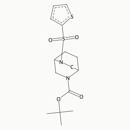 CC(C)(C)OC(=O)N1CC2CCC1CN2S(=O)(=O)c1cccs1